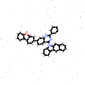 c1ccc(-c2nc(-n3c4ccccc4c4cc5ccccc5cc43)c3ccc(-c4ccc5c(c4)oc4ccccc45)cc3n2)cc1